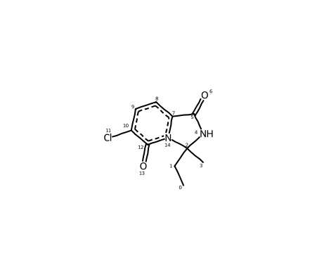 CCC1(C)NC(=O)c2ccc(Cl)c(=O)n21